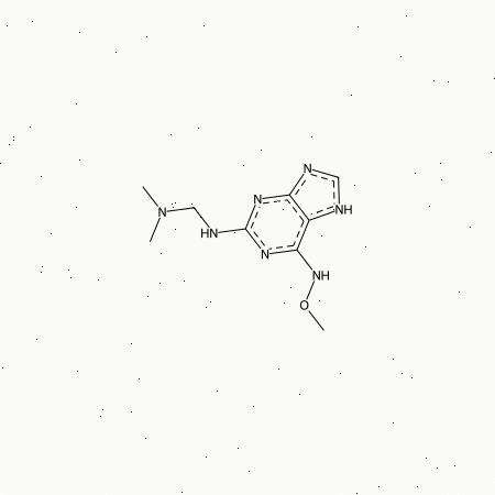 CONc1nc(NCN(C)C)nc2nc[nH]c12